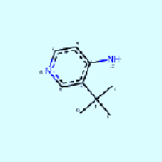 CC(C)(C)c1cnccc1[NH]